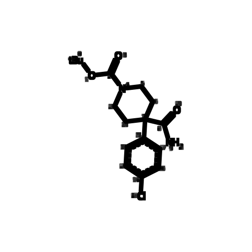 CC(C)(C)OC(=O)N1CCC(C(N)=O)(c2ccc(Cl)cc2)CC1